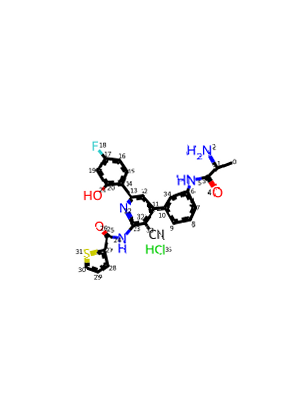 CC(N)C(=O)Nc1cccc(-c2cc(-c3ccc(F)cc3O)nc(NC(=O)c3cccs3)c2C#N)c1.Cl